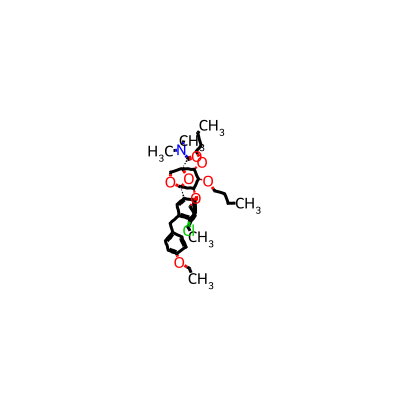 CCCCO[C@@H]1[C@@H](OCCCC)[C@@]2(c3ccc(Cl)c(Cc4ccc(OCC)cc4)c3)OC[C@](C(=O)N(C)C)(O2)[C@H]1OCCCC